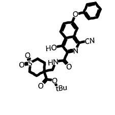 CC(C)(C)OC(=O)C1(CNC(=O)c2nc(C#N)c3cc(Oc4ccccc4)ccc3c2O)CCS(=O)(=O)CC1